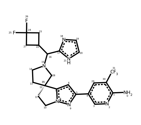 Nc1ncc(-c2cc3n(n2)CC[C@@]32CCN(C(c3ncc[nH]3)C3CC(F)(F)C3)C2)cc1C(F)(F)F